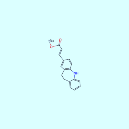 CC(C)(C)OC(=O)C=Cc1ccc2c(c1)CCc1ccccc1N2